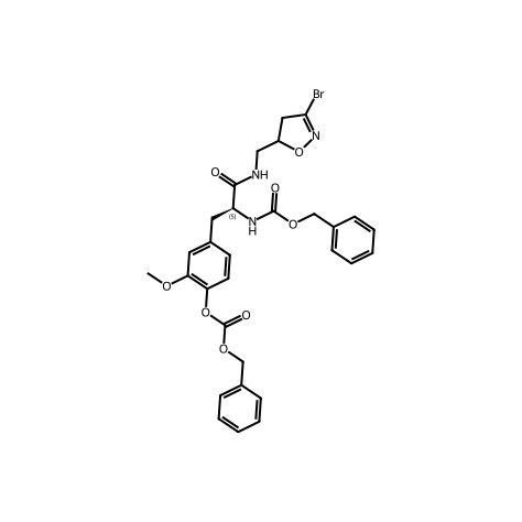 COc1cc(C[C@H](NC(=O)OCc2ccccc2)C(=O)NCC2CC(Br)=NO2)ccc1OC(=O)OCc1ccccc1